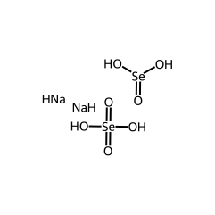 O=[Se](=O)(O)O.O=[Se](O)O.[NaH].[NaH]